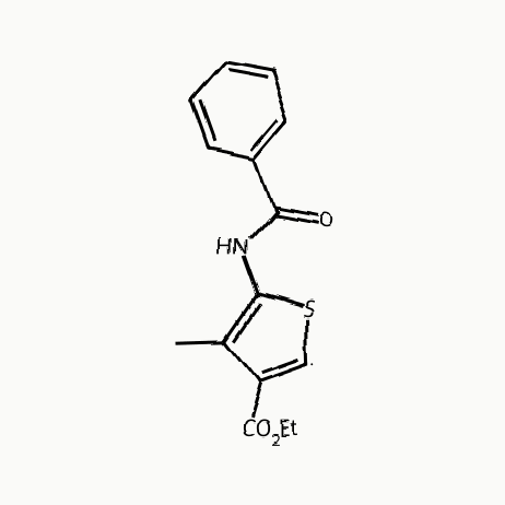 CCOC(=O)c1[c]sc(NC(=O)c2ccccc2)c1C